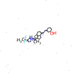 C[C@@H](CN1CC[C@H](C(C)(F)F)C1)C1CCC2/C(=C/C=C3/CCCC(O)C3)CCCC21C